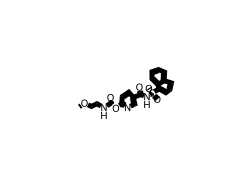 COCCNC(=O)Oc1ccc(C(=O)NS(=O)(=O)c2cccc3ccccc23)cn1